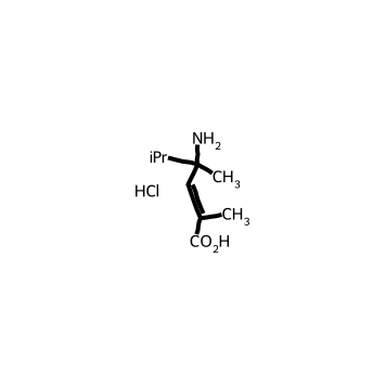 CC(=CC(C)(N)C(C)C)C(=O)O.Cl